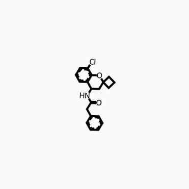 O=C(Cc1ccccc1)NC1CC2(CCC2)Oc2c(Cl)cccc21